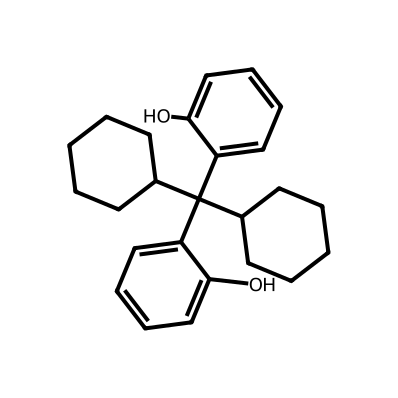 Oc1ccccc1C(c1ccccc1O)(C1CCCCC1)C1CCCCC1